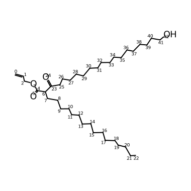 C=CCOC(=O)C(CCCCCCCCCCCCCCCC)C(=O)CCCCCCCCCCCCCCCCCO